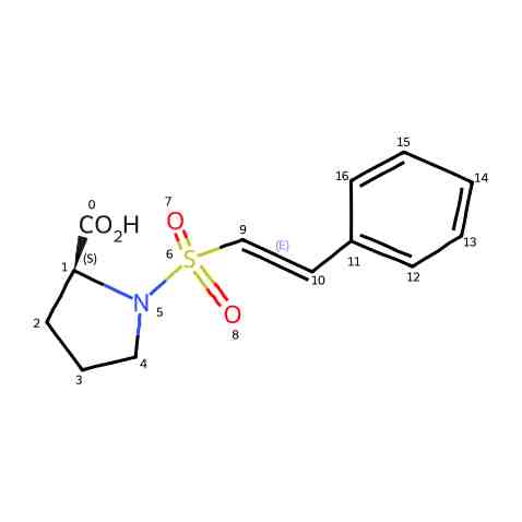 O=C(O)[C@@H]1CCCN1S(=O)(=O)/C=C/c1ccccc1